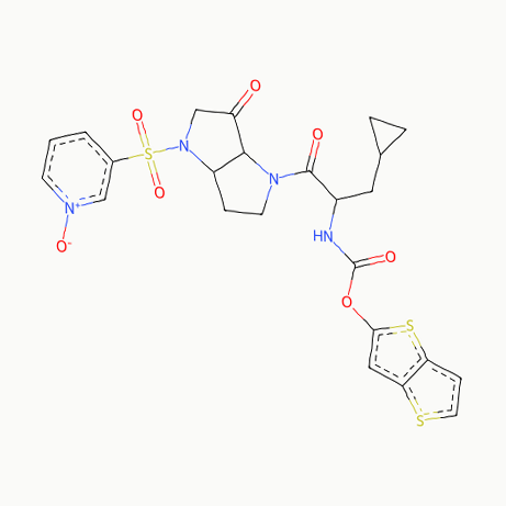 O=C(NC(CC1CC1)C(=O)N1CCC2C1C(=O)CN2S(=O)(=O)c1ccc[n+]([O-])c1)Oc1cc2sccc2s1